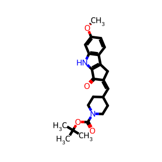 COc1ccc2c3c([nH]c2c1)C(=O)C(=CC1CCN(C(=O)OC(C)(C)C)CC1)C3